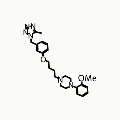 COc1ccccc1N1CCN(CCCCOc2cccc(Cn3nnnc3C)c2)CC1